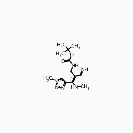 CN/C(=C(\C=N)CNC(=O)OC(C)(C)C)c1cn(C)nn1